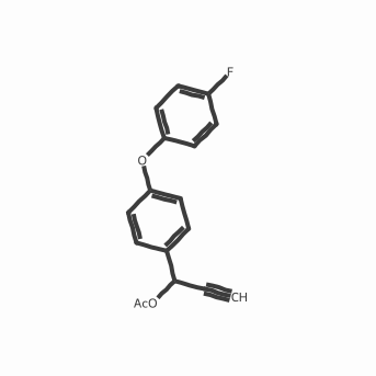 C#CC(OC(C)=O)c1ccc(Oc2ccc(F)cc2)cc1